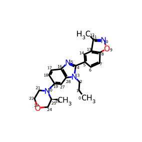 CCCn1c(-c2ccc3onc(C)c3c2)nc2ccc(N3CCOC[C@@H]3C)cc21